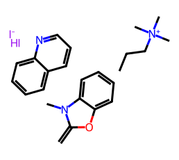 C=C1Oc2ccccc2N1C.CCC[N+](C)(C)C.I.[I-].c1ccc2ncccc2c1